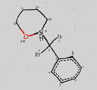 CCC(CC)(c1ccccc1)[SiH]1CCCCO1